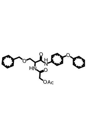 CC(=O)OCC(=O)NC(COCc1ccccc1)C(=O)Nc1ccc(Oc2ccccc2)cc1